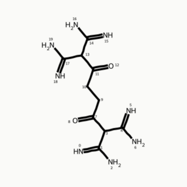 N=C(N)C(C(=N)N)C(=O)CCC(=O)C(C(=N)N)C(=N)N